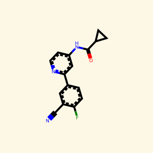 N#Cc1cc(-c2cc(NC(=O)C3CC3)ccn2)ccc1F